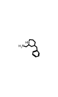 NCC1CC(Cc2ccccc2)CCCN1